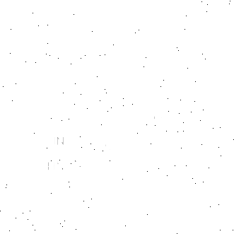 CCc1ccccc1OCC(CC)CSCc1n[nH]c(=O)[nH]1